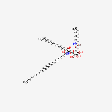 CCCCCCCCCCCCCCCCCCCCCCCCCCNC(CO[C@H]1O[C@H](COC(=O)NCCCCCCCC)[C@H](O)[C@H](O)[C@H]1O)C(O)C(O)CCCCCCCCCCCCCC